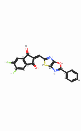 O=C1C(=Cc2nc3oc(-c4ccccc4)nc3s2)C(=O)c2cc(F)c(F)cc21